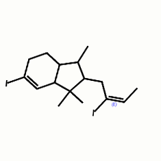 C/C=C(/I)CC1C(C)C2CCC(I)=CC2C1(C)C